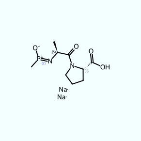 C[C@H](/N=[P+](/C)[O-])C(=O)N1CCC[C@H]1C(=O)O.[Na].[Na]